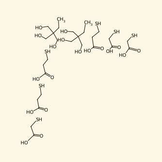 CCC(CO)(CO)CO.CCC(CO)(CO)CO.O=C(O)CCS.O=C(O)CCS.O=C(O)CCS.O=C(O)CS.O=C(O)CS.O=C(O)CS